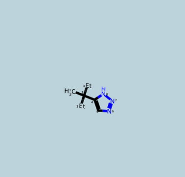 CCC(C)(CC)c1cnn[nH]1